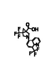 O=C(O)C12CN(c3ccc(C(F)(F)F)c4ncccc34)CC1(C(F)(F)F)C2